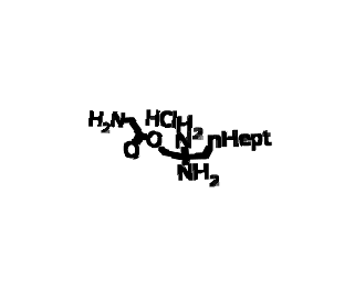 CCCCCCCCC(N)(N)COC(=O)CN.Cl